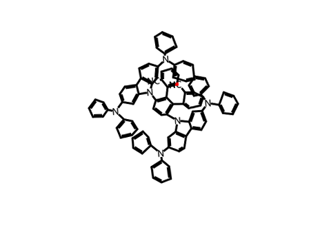 N#Cc1ccccc1-c1c(-n2c3cc(N(c4ccccc4)c4ccccc4)ccc3c3ccc(N(c4ccccc4)c4ccccc4)cc32)ccc(-n2c3cc(N(c4ccccc4)c4ccccc4)ccc3c3ccc(N(c4ccccc4)c4ccccc4)cc32)c1-c1ccccc1C#N